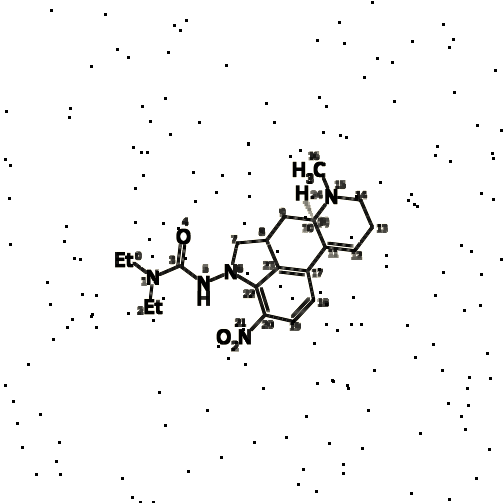 CCN(CC)C(=O)NN1CC2C[C@@H]3C(=CCCN3C)c3ccc([N+](=O)[O-])c1c32